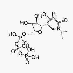 CC(C)n1cc([C@@H]2O[C@H](COP(=O)(O)OP(=O)(O)OP(=O)(O)O)[C@@H](O)[C@H]2O)c(=O)[nH]c1=O